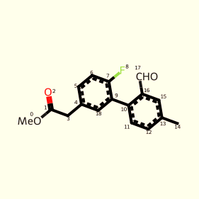 COC(=O)Cc1ccc(F)c(-c2ccc(C)cc2C=O)c1